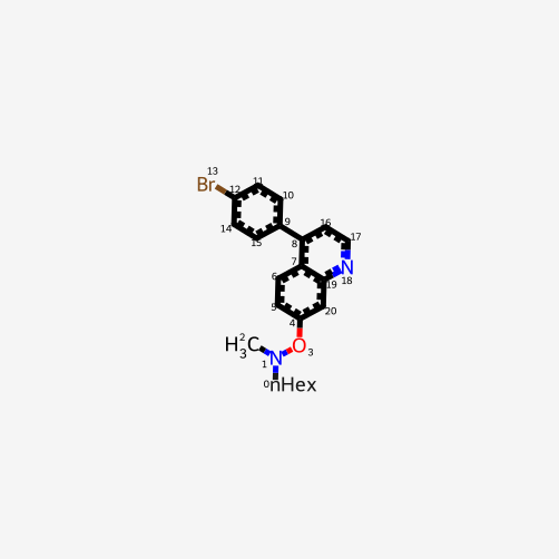 CCCCCCN(C)Oc1ccc2c(-c3ccc(Br)cc3)ccnc2c1